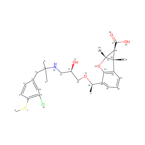 CSc1ccc(CC(C)(C)NC[C@@H](O)CO[C@H](C)c2cccc3c2O[C@@H]2[C@@H](C(=O)O)[C@H]32)cc1Cl